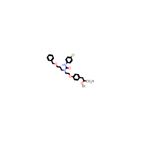 CCOC(Cc1ccc(OCCN(CCCOCc2ccccc2)C(=O)Nc2ccc(Cl)cc2)cc1)C(=O)O